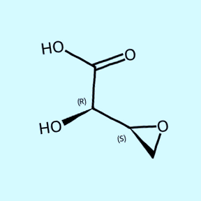 O=C(O)[C@H](O)[C@@H]1CO1